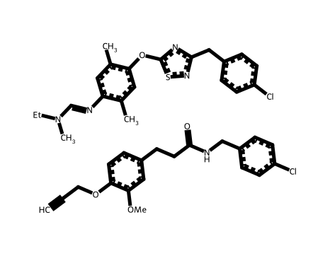 C#CCOc1ccc(CCC(=O)NCc2ccc(Cl)cc2)cc1OC.CCN(C)C=Nc1cc(C)c(Oc2nc(Cc3ccc(Cl)cc3)ns2)cc1C